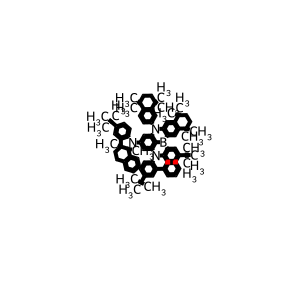 CC(C)(C)c1ccc2c(c1)B1c3cc4c(cc3N(c3ccc5c(c3)C(C)(C)CCC5(C)C)c3cc(N5c6ccc(C(C)(C)C)cc6C6(C)CCc7ccccc7C56C)cc(c31)N2c1ccc(C(C)(C)C)cc1-c1ccccc1)C(C)(C)CCC4(C)C